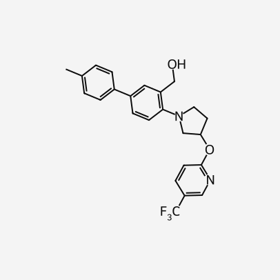 Cc1ccc(-c2ccc(N3CCC(Oc4ccc(C(F)(F)F)cn4)C3)c(CO)c2)cc1